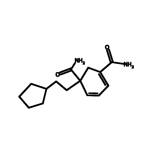 NC(=O)C1=CC=CC(CCC2CCCC2)(C(N)=O)C1